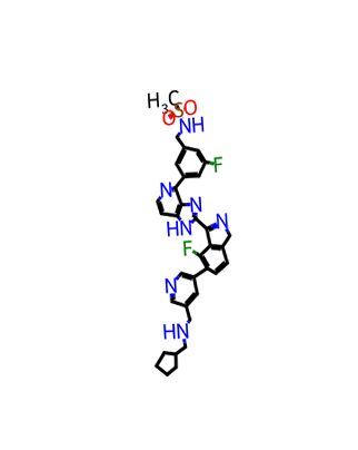 CS(=O)(=O)NCc1cc(F)cc(-c2nccc3[nH]c(C4=NCc5ccc(-c6cncc(CNCC7CCCC7)c6)c(F)c54)nc23)c1